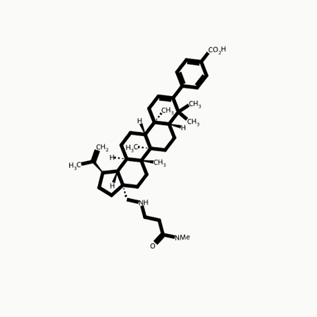 C=C(C)[C@@H]1CC[C@]2(CNCCC(=O)NC)CC[C@]3(C)[C@H](CC[C@@H]4[C@@]5(C)CC=C(c6ccc(C(=O)O)cc6)C(C)(C)[C@@H]5CC[C@]43C)[C@@H]12